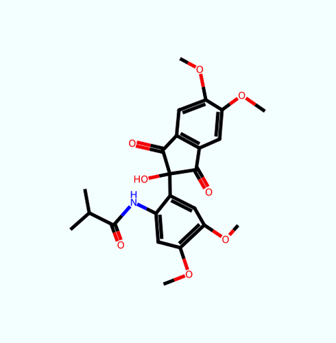 COc1cc(NC(=O)C(C)C)c(C2(O)C(=O)c3cc(OC)c(OC)cc3C2=O)cc1OC